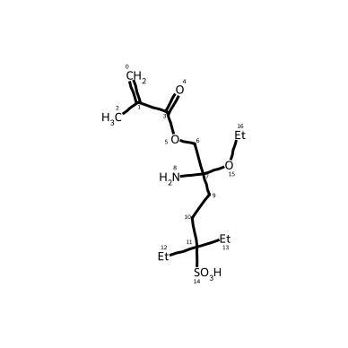 C=C(C)C(=O)OCC(N)(CCC(CC)(CC)S(=O)(=O)O)OCC